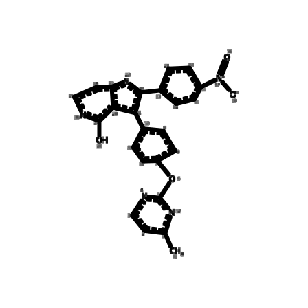 Cc1ccnc(Oc2ccc(-c3c(-c4ccc([N+](=O)[O-])cc4)sc4ccnc(O)c34)cc2)n1